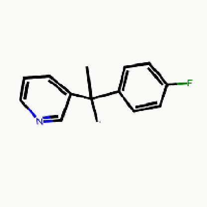 [CH2]C(C)(c1ccc(F)cc1)c1cccnc1